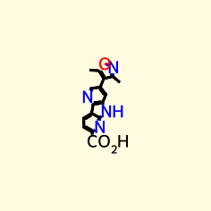 Cc1noc(C)c1-c1cnc2c(c1)[nH]c1nc(C(=O)O)ccc12